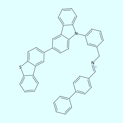 C(=N\Cc1cccc(-n2c3ccccc3c3cc(-c4ccc5sc6ccccc6c5c4)ccc32)c1)/c1ccc(-c2ccccc2)cc1